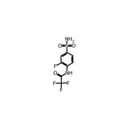 NS(=O)(=O)c1ccc(NC(=O)C(F)(F)F)c(F)c1